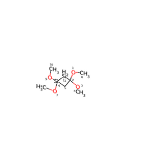 COC1(OC)C[Si](OC)(OC)[SiH2]1